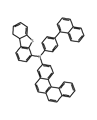 C1=CCC2C(=C1)Sc1c2cccc1N(c1ccc(-c2cccc3ccccc23)cc1)c1ccc2c(ccc3ccc4ccccc4c32)c1